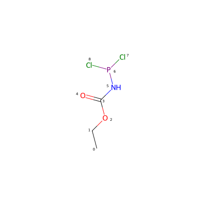 CCOC(=O)NP(Cl)Cl